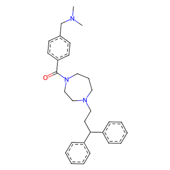 CN(C)Cc1ccc(C(=O)N2CCCN(CCC(c3ccccc3)c3ccccc3)CC2)cc1